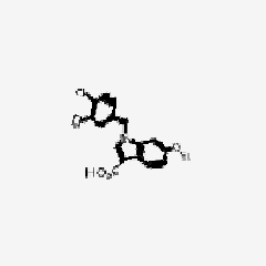 CCOc1ccc2c(C(=O)O)cn(Cc3ccc(Cl)c(Cl)c3)c2c1